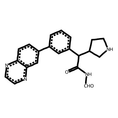 O=CNC(=O)C(c1cccc(-c2ccc3nccnc3c2)c1)C1CCNC1